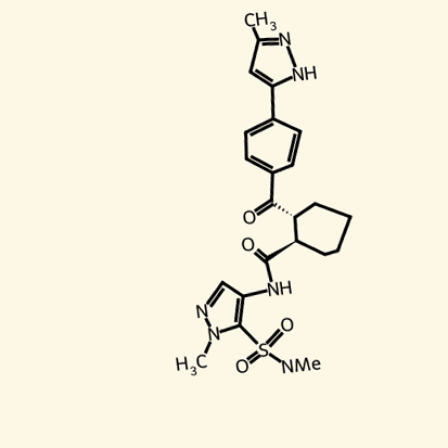 CNS(=O)(=O)c1c(NC(=O)[C@@H]2CCCC[C@H]2C(=O)c2ccc(-c3cc(C)n[nH]3)cc2)cnn1C